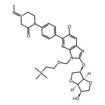 C/N=S1\CCN(c2ccc(-c3nc4c(cc3Cl)nc(O[C@@H]3CO[C@H]5[C@@H]3OC[C@H]5O)n4COCC[Si](C)(C)C)cc2)C(=O)C1